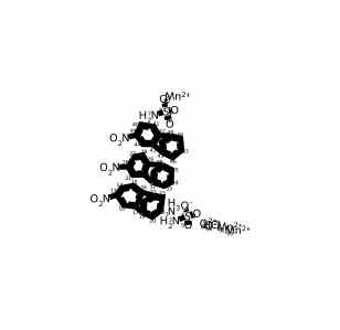 Cl.N.NS(=O)(=O)[O-].NS(=O)(=O)[O-].O=[N+]([O-])c1ccc2c(c1)-c1cccc-2c1.O=[N+]([O-])c1ccc2c(c1)-c1cccc-2c1.O=[N+]([O-])c1ccc2c(c1)-c1cccc-2c1.[Mn+2].[Mn+2].[Mn+2].[O-2].[O-2]